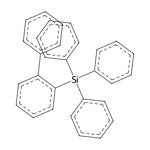 c1ccc(-c2ccccc2[Si](c2ccccc2)(c2ccccc2)c2ccccc2)cc1